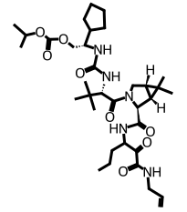 C=CCNC(=O)C(=O)C(CCC)NC(=O)[C@@H]1[C@@H]2[C@H](CN1C(=O)[C@@H](NC(=O)N[C@H](COC(=O)OC(C)C)C1CCCC1)C(C)(C)C)C2(C)C